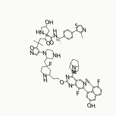 C#Cc1c(F)ccc2cc(O)cc(-c3ncc4c(N5CC6CCC(C5)N6)nc(OCCC5CC(F)(CC6CNCCN6c6cnoc6C(C)(C)CC(=O)[C@@]6(C(=O)N[C@@H](C)c7ccc(-c8scnc8C)cc7)CC(O)CN6)CCN5)nc4c3F)c12